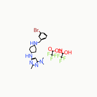 Cc1nc(N[C@H]2CC[C@@H](NCc3cccc(Br)c3)CC2)cc(N(C)C)n1.O=C(O)C(F)(F)F.O=C(O)C(F)(F)F